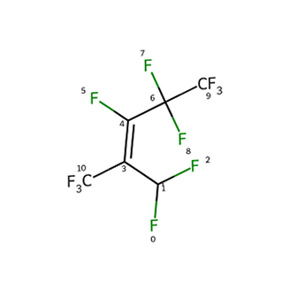 F[C](F)C(=C(F)C(F)(F)C(F)(F)F)C(F)(F)F